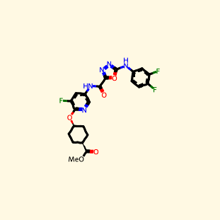 COC(=O)[C@H]1CC[C@@H](Oc2ncc(NC(=O)c3nnc(Nc4ccc(F)c(F)c4)o3)cc2F)CC1